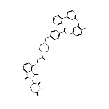 Cc1ccc(NC(=O)c2ccc(CN3CCN(C(=O)CSc4cccc5c4C(=O)N(C4CCC(=O)NC4=O)C5=O)CC3)cc2)cc1Nc1nccc(-c2cccnc2)n1